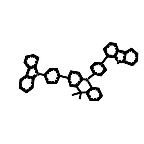 CC1(C)c2ccccc2N(c2ccc(-c3cccc4c3sc3ccccc34)cc2)c2ccc(-c3ccc(-n4c5ccccc5c5ccccc54)cc3)cc21